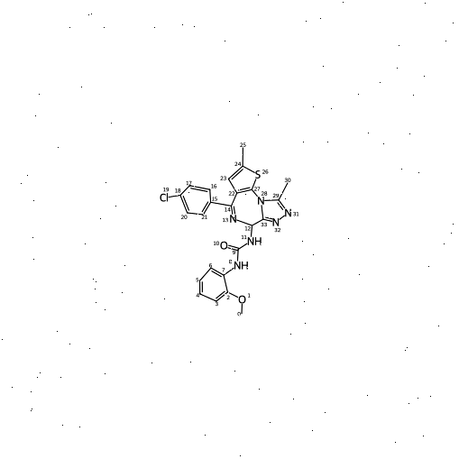 COc1ccccc1NC(=O)NC1N=C(c2ccc(Cl)cc2)c2cc(C)sc2-n2c(C)nnc21